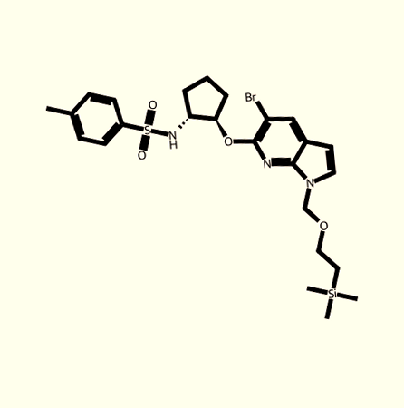 Cc1ccc(S(=O)(=O)N[C@@H]2CCC[C@H]2Oc2nc3c(ccn3COCC[Si](C)(C)C)cc2Br)cc1